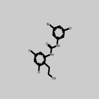 O=C(Nc1cc(Cl)cc(Br)c1)Nc1cc(Cl)cc(Cl)c1CCO